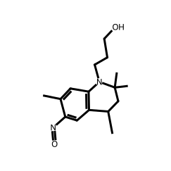 Cc1cc2c(cc1N=O)C(C)CC(C)(C)N2CCCO